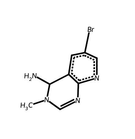 CN1C=Nc2ncc(Br)cc2C1N